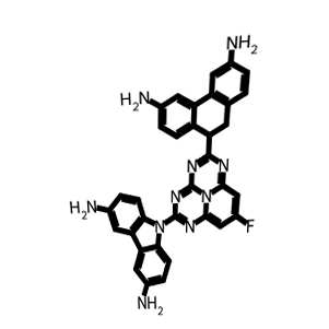 Nc1ccc2c(c1)-c1cc(N)ccc1C(C1=NC3=NC(n4c5ccc(N)cc5c5cc(N)ccc54)=NC4=CC(F)=CC(=N1)N43)C2